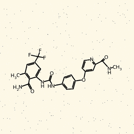 CNC(=O)c1cc(Oc2ccc(NC(=O)Nc3cc(C(F)(F)F)cc(C)c3C(N)=O)cc2)ccn1